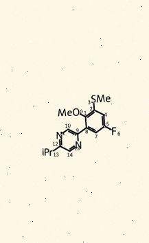 COc1c(SC)cc(F)cc1-c1cnc(C(C)C)cn1